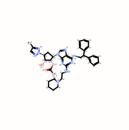 CCc1cnn([C@H]2C[C@@H](n3cnc4c(NCC(c5ccccc5)c5ccccc5)nc(NCCN5CCCCC5)nc43)[C@H](OC(=O)C(F)(F)F)[C@@H]2O)n1